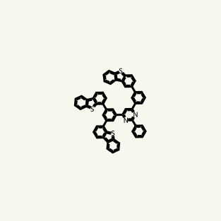 c1ccc(-c2nc(-c3cccc(-c4ccc5sc6ccccc6c5c4)c3)cc(-c3cc(-c4cccc5c4sc4ccccc45)cc(-c4cccc5c4sc4ccccc45)c3)n2)cc1